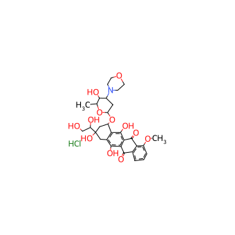 COc1cccc2c1C(=O)c1c(O)c3c(c(O)c1C2=O)CC(O)(C(O)CO)CC3OC1CC(N2CCOCC2)C(O)C(C)O1.Cl